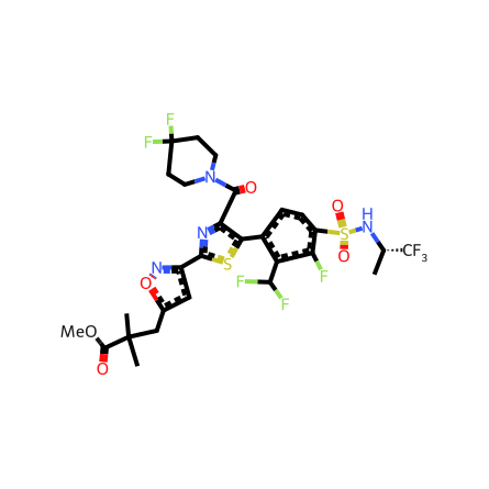 COC(=O)C(C)(C)Cc1cc(-c2nc(C(=O)N3CCC(F)(F)CC3)c(-c3ccc(S(=O)(=O)N[C@@H](C)C(F)(F)F)c(F)c3C(F)F)s2)no1